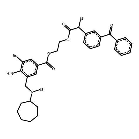 CCC(C(=O)OCCOC(=O)c1cc(Br)c(N)c(CN(CC)C2CCCCCC2)c1)c1cccc(C(=O)c2ccccc2)c1